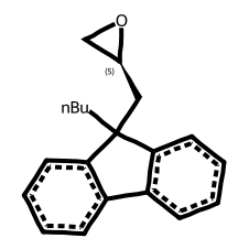 CCCCC1(C[C@H]2CO2)c2ccccc2-c2ccccc21